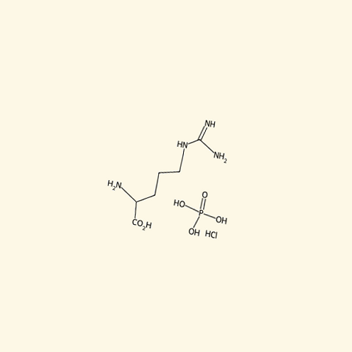 Cl.N=C(N)NCCCC(N)C(=O)O.O=P(O)(O)O